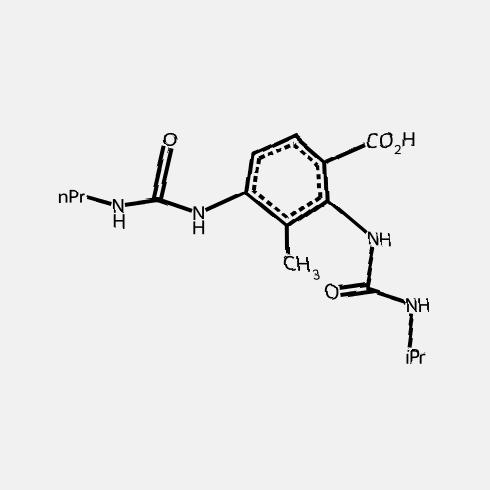 CCCNC(=O)Nc1ccc(C(=O)O)c(NC(=O)NC(C)C)c1C